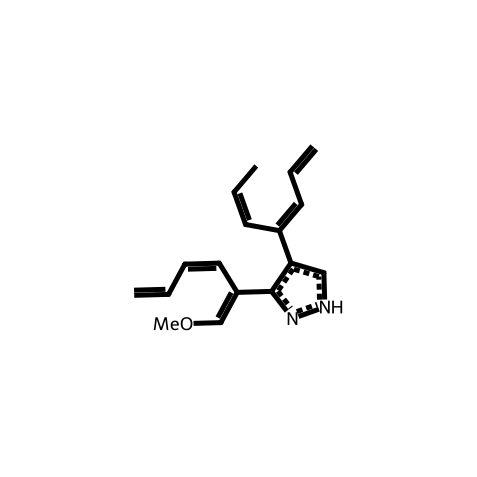 C=C/C=C\C(=C/OC)c1n[nH]cc1C(/C=C\C)=C/C=C